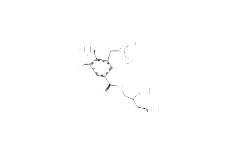 CCN(CC)Cc1cc(C(=O)OCC(O)CO)cc(Br)c1N